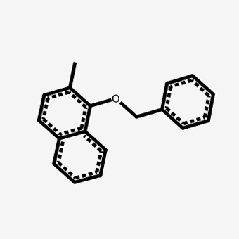 Cc1ccc2ccccc2c1OCc1ccccc1